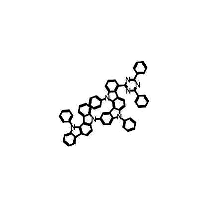 c1ccc(-c2nc(-c3ccccc3)nc(-c3cccc4c3c3ccc5c(c6cc(-n7c8ccccc8c8c7ccc7c9ccccc9n(-c9ccccc9)c78)ccc6n5-c5ccccc5)c3n4-c3ccccc3)n2)cc1